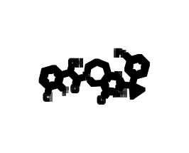 CC(C)c1cccc(C2(c3nc4c(c(=O)[nH]3)CN(C(=O)C(O)c3cccc(Cl)c3F)CCC4)CC2)c1